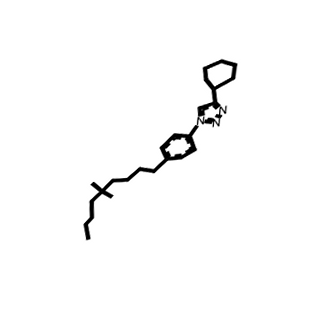 CCCCC(C)(C)CCCCc1ccc(-n2cc(C3CCCCC3)nn2)cc1